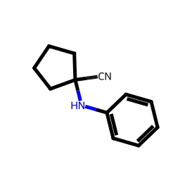 N#CC1(Nc2ccccc2)CCCC1